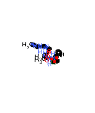 CC(C(=O)CNCCNC(c1ccccc1)(c1ccc(C2CCCCCC[C@H]3CC23)cc1)c1ccccc1Cl)N(C)C(=O)CCCOc1cccc(-c2nc3ccc(-c4nc5cc(N6CCN(C)CC6)ccc5[nH]4)cc3[nH]2)c1